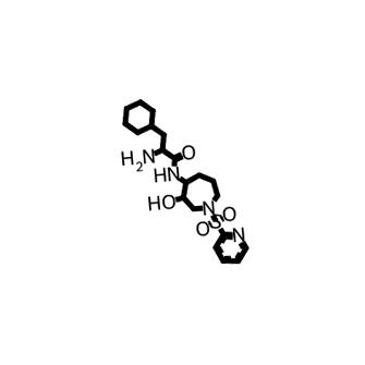 NC(CC1CCCCC1)C(=O)NC1CCCN(S(=O)(=O)c2ccccn2)CC1O